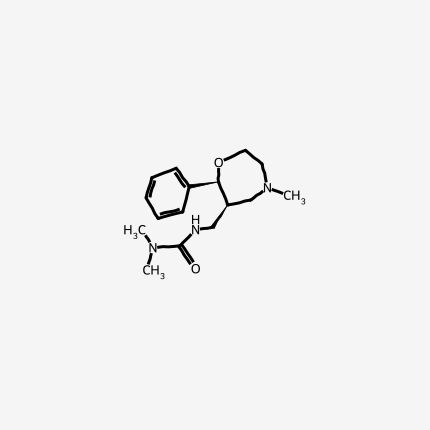 CN1CCO[C@H](c2ccccc2)[C@H](CNC(=O)N(C)C)C1